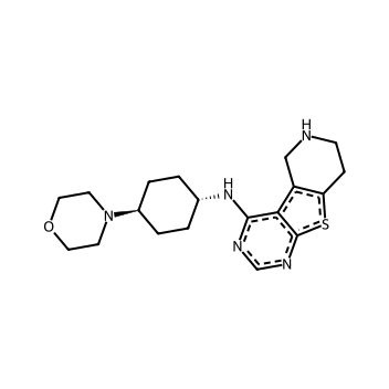 c1nc(N[C@H]2CC[C@H](N3CCOCC3)CC2)c2c3c(sc2n1)CCNC3